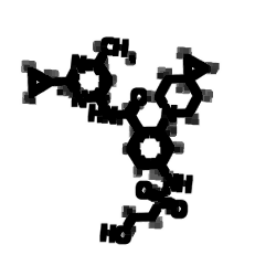 Cc1cc(NC(=O)c2ccc(NS(=O)(=O)CCO)cc2N2CCC3(CC2)CC3)nc(C2CC2)n1